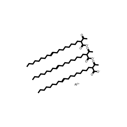 CCCCCCCCC=CCCCCCCCCC(C(C)=O)C(=O)[O-].CCCCCCCCC=CCCCCCCCCC(C(C)=O)C(=O)[O-].CCCCCCCCC=CCCCCCCCCC(C(C)=O)C(=O)[O-].[Al+3]